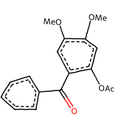 COc1cc(OC(C)=O)c(C(=O)c2ccccc2)cc1OC